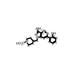 Nc1nn(CC2CCN(C(=O)O)CC2)c2cc(-c3ccccc3O)nnc12